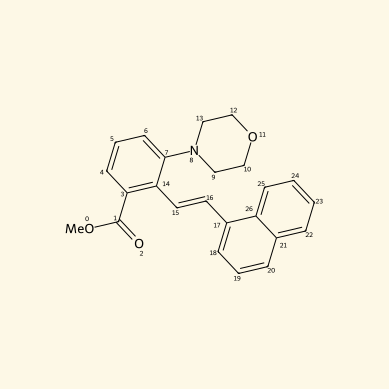 COC(=O)c1cccc(N2CCOCC2)c1C=Cc1cccc2ccccc12